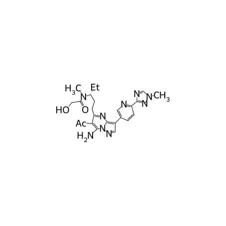 CC[C@H](CCc1nc2c(-c3ccc(-c4ncn(C)n4)nc3)cnn2c(N)c1C(C)=O)N(C)C(=O)CO